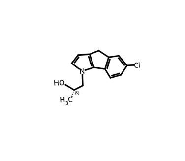 C[C@H](O)Cn1ccc2c1-c1ccc(Cl)cc1C2